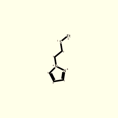 CCSCCn1cccn1